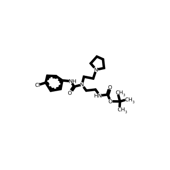 CC(C)(C)OC(=O)NCCN(CCN1CCCC1)C(=O)Nc1ccc(Cl)cc1